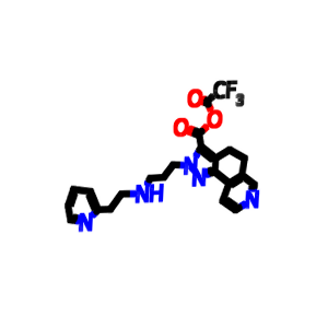 O=C(OC(=O)C(F)(F)F)c1c2c(nn1CCCNCCc1ccccn1)-c1ccncc1CC2